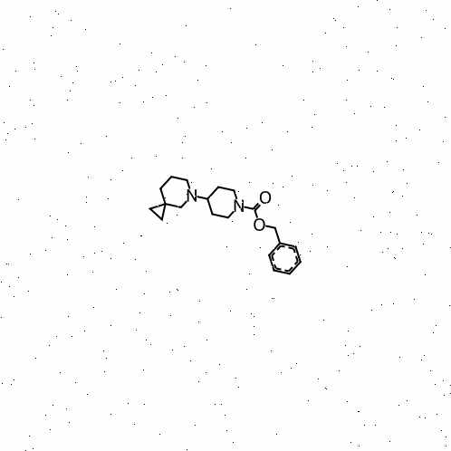 O=C(OCc1ccccc1)N1CCC(N2CCCC3(CC3)C2)CC1